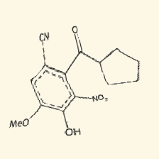 COc1cc(C#N)c(C(=O)C2CCCC2)c([N+](=O)[O-])c1O